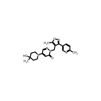 Cc1ccc(-c2noc(C)c2Cn2ncc(N3CCC(C)(O)CC3)cc2=O)cn1